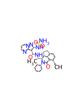 C#Cc1ccc2c3c(c([C@H](C)NC(=O)c4c(NS(N)(=O)=O)nn5cccnc45)n(-c4ccccc4)c(=O)c13)CC2